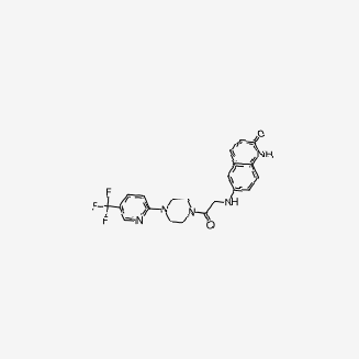 O=C(CNc1ccc2[nH]c(=O)ccc2c1)N1CCN(c2ccc(C(F)(F)F)cn2)CC1